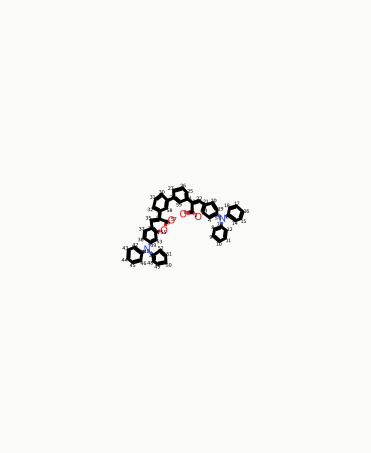 O=c1oc2cc(N(c3ccccc3)c3ccccc3)ccc2cc1-c1cccc(-c2cccc(-c3cc4ccc(N(c5ccccc5)c5ccccc5)cc4oc3=O)c2)c1